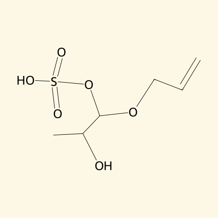 C=CCOC(OS(=O)(=O)O)C(C)O